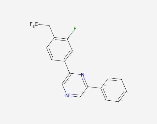 Fc1cc(-c2cncc(-c3ccccc3)n2)ccc1CC(F)(F)F